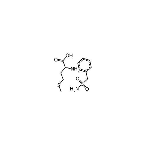 CSCC[C@H](N)C(=O)O.NS(=O)(=O)Cc1ccccc1